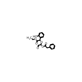 CCOC(=O)C(OC(C=O)OC(=O)Cc1ccccc1)c1ccccc1O